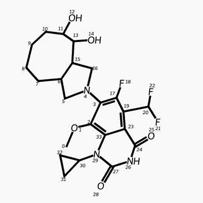 COc1c(N2CC3CCCCC(O)C(O)C3C2)c(F)c(C(F)F)c2c(=O)[nH]c(=O)n(C3CC3)c12